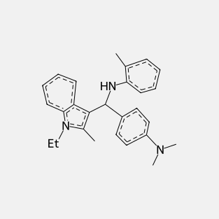 CCn1c(C)c(C(Nc2ccccc2C)c2ccc(N(C)C)cc2)c2ccccc21